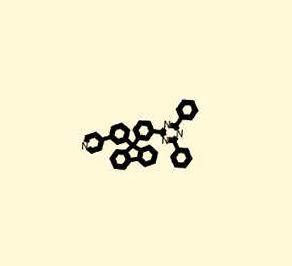 c1ccc(-c2nc(-c3ccccc3)nc(-c3cccc(C4(c5cccc(-c6ccncc6)c5)c5ccccc5-c5ccccc54)c3)n2)cc1